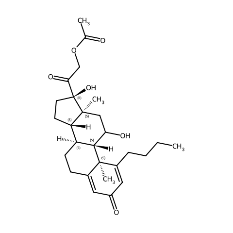 CCCCC1=CC(=O)C=C2CC[C@@H]3[C@H](C(O)C[C@@]4(C)[C@H]3CC[C@]4(O)C(=O)COC(C)=O)[C@@]12C